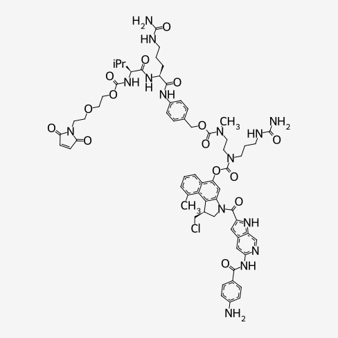 Cc1cccc2c(OC(=O)N(CCCNC(N)=O)CCN(C)C(=O)OCc3ccc(NC(=O)[C@H](CCCNC(N)=O)NC(=O)[C@@H](NC(=O)OCCOCCN4C(=O)C=CC4=O)C(C)C)cc3)cc3c(c12)[C@H](CCl)CN3C(=O)c1cc2cc(NC(=O)c3ccc(N)cc3)ncc2[nH]1